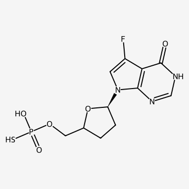 O=c1[nH]cnc2c1c(F)cn2[C@H]1CCC(COP(=O)(O)S)O1